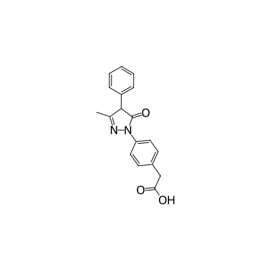 CC1=NN(c2ccc(CC(=O)O)cc2)C(=O)C1c1ccccc1